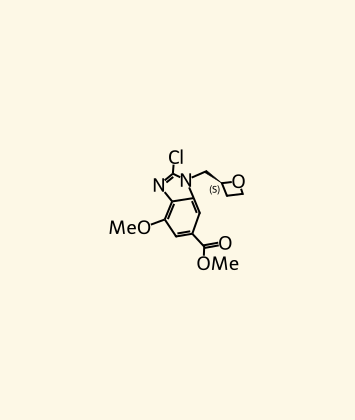 COC(=O)c1cc(OC)c2nc(Cl)n(C[C@@H]3CCO3)c2c1